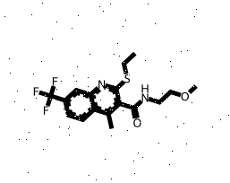 CCSc1nc2cc(C(F)(F)F)ccc2c(C)c1C(=O)NCCOC